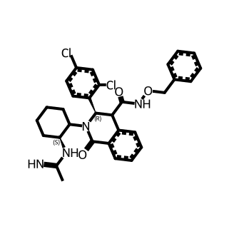 CC(=N)N[C@H]1CCCCC1N1C(=O)c2ccccc2C(C(=O)NOCc2ccccc2)[C@@H]1c1ccc(Cl)cc1Cl